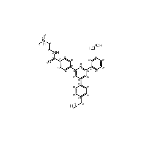 Cl.Cl.[CH3][SnH]([CH3])[CH2]CNC(=O)c1ccc(-c2cc(-c3ccc(CN)cc3)cc(-c3ccccc3)n2)cc1